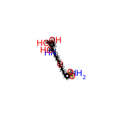 NS(=O)(=O)c1cccc(CCCCCOCCCCCCNC[C@@H](O)c2ccc(O)c(CO)c2)c1